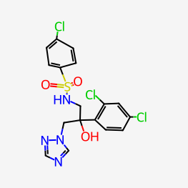 O=S(=O)(NCC(O)(Cn1cncn1)c1ccc(Cl)cc1Cl)c1ccc(Cl)cc1